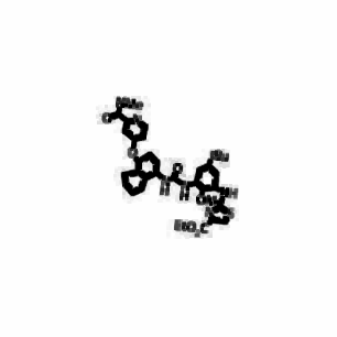 CCOC(=O)c1csc(Nc2cc(C(C)(C)C)cc(NC(=O)Nc3ccc(Oc4ccnc(C(=O)NC)c4)c4ccccc34)c2OC)n1